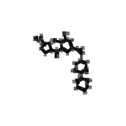 CN1CCC(Nc2cc(C3CC3c3cnc(-c4ncccn4)nc3)cc(F)c2F)C1